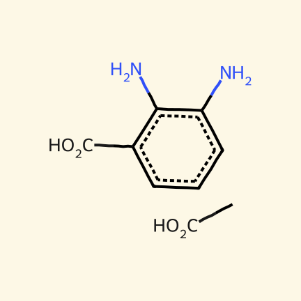 CC(=O)O.Nc1cccc(C(=O)O)c1N